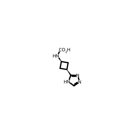 O=C(O)N[C@H]1C[C@@H](c2nnc[nH]2)C1